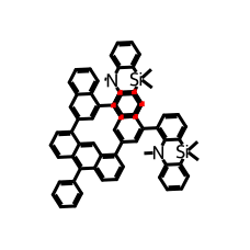 CN1c2ccccc2[Si](C)(C)c2cccc(-c3cc(-c4cccc5c(-c6ccccc6)c6cccc(-c7cc(-c8cccc9c8N(C)c8ccccc8[Si]9(C)C)c8ccccc8c7)c6cc45)cc4ccccc34)c21